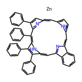 C1=C(c2ccccc2)c2nc1cc1ccc(cc3nc(cc4[nH]c(c2-c2ccccc2)c(-c2ccccc2)c4-c2ccccc2)-c2ccccc2-3)[nH]1.[Zn]